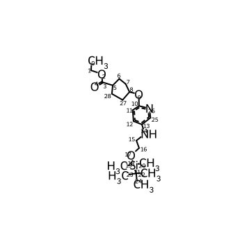 CCOC(=O)C1CCC(Oc2ccc(NCCO[Si](C)(C)C(C)(C)C)cn2)CC1